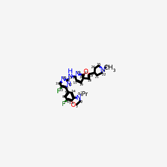 CC(C)N1CCOc2c(F)cc(-c3nc(Nc4ccc5cc(C6CCN(C)CC6)oc5n4)ncc3F)cc21